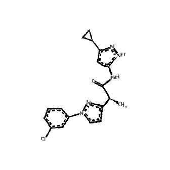 C[C@H](C(=O)Nc1cc(C2CC2)n[nH]1)c1ccn(-c2cccc(Cl)c2)n1